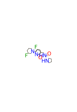 COc1nc(N2CCCC(F)C2)c(F)cc1CNC(=O)[C@@H]1CCCN1